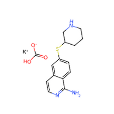 Nc1nccc2cc(SC3CCCNC3)ccc12.O=C([O-])O.[K+]